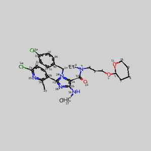 CCN(CCCOC1CCCCO1)C(=O)c1c(NC=O)nc(-c2ccc(Cl)nc2C)n1Cc1ccc(Cl)cc1